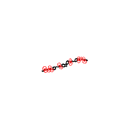 C=CC(=O)OCOC(=O)Oc1ccc(CCC(=O)Oc2ccc3c(c2)C(C)c2cc(OC(=O)CCc4ccc(OC(=O)OCOC(=O)C=C)cc4)ccc2-3)cc1